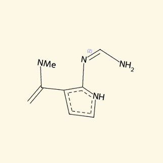 C=C(NC)c1cc[nH]c1/N=C\N